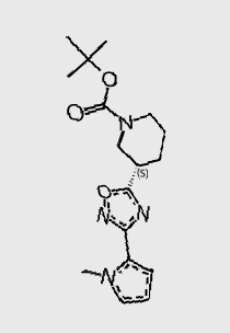 Cn1cccc1-c1noc([C@H]2CCCN(C(=O)OC(C)(C)C)C2)n1